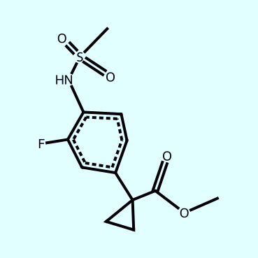 COC(=O)C1(c2ccc(NS(C)(=O)=O)c(F)c2)CC1